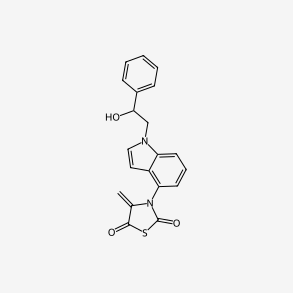 C=C1C(=O)SC(=O)N1c1cccc2c1ccn2CC(O)c1ccccc1